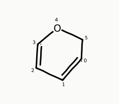 [C]1=CC=[C]OC1